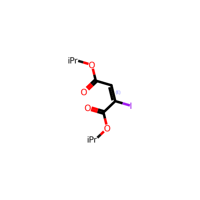 CC(C)OC(=O)/C=C(/I)C(=O)OC(C)C